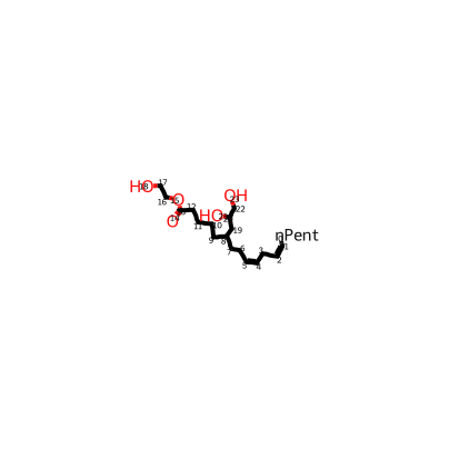 CCCCC/C=C\C/C=C\CCC(CCCCC(=O)OCCO)CC(O)CO